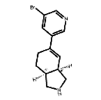 Brc1cncc(C2=C[C@H]3CNC[C@H]3CC2)c1